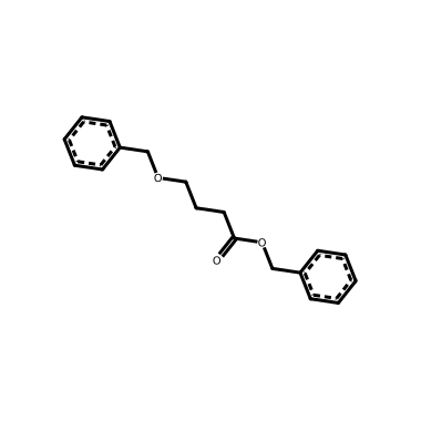 O=C(CCCOCc1ccccc1)OCc1ccccc1